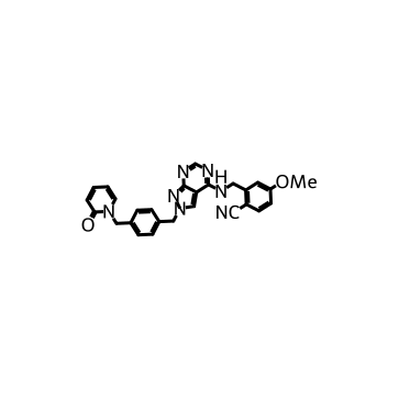 COc1ccc(C#N)c(CNc2ncnc3nn(Cc4ccc(Cn5ccccc5=O)cc4)cc23)c1